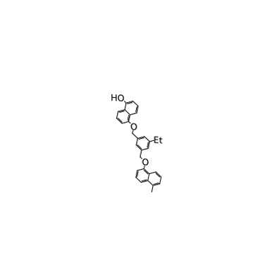 CCc1cc(COc2cccc3c(C)cccc23)cc(COc2cccc3c(O)cccc23)c1